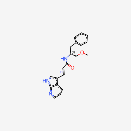 COC[C@H](Cc1ccccc1)NC(=O)/C=C/c1c[nH]c2ncccc12